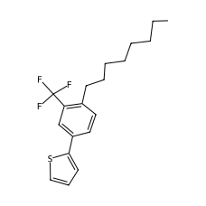 CCCCCCCCc1ccc(-c2cccs2)cc1C(F)(F)F